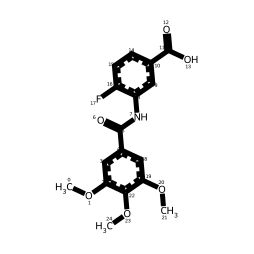 COc1cc(C(=O)Nc2cc(C(=O)O)ccc2F)cc(OC)c1OC